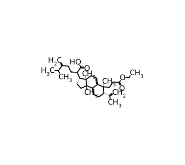 C=C(CC[C@@H](C(=O)O)[C@H]1CC[C@@]2(C)C3=CC[C@@H](C(=C)C)[C@](C)(CCC(=O)OCC)C3=CC[C@]12C)C(C)C